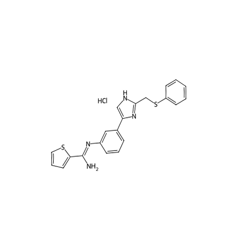 Cl.N/C(=N\c1cccc(-c2c[nH]c(CSc3ccccc3)n2)c1)c1cccs1